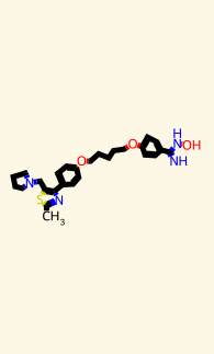 Cc1nc(-c2ccc(OCCCCCOc3ccc(C(=N)NO)cc3)cc2)c(CN2CCCC2)s1